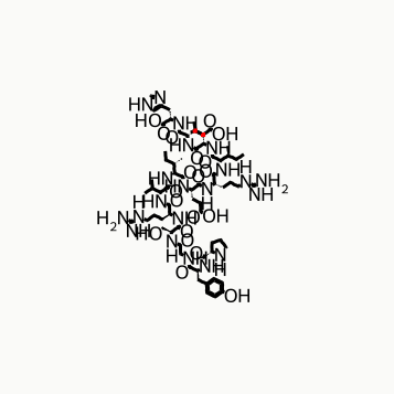 CC[C@H](C)[C@H](NC(=O)[C@H](CCCNC(=N)N)NC(=O)[C@H](CCC(=O)O)NC(=O)[C@@H](NC(=O)[C@@H](NC(=O)[C@H](CCCNC(=N)N)NC(=O)[C@H](CO)NC(=O)CNC(=O)[C@H](Cc1ccc(O)cc1)NC(=O)[C@@H]1CCCN1)C(C)C)[C@@H](C)CC)C(=O)N[C@@H](CC(C)C)C(=O)N[C@@H](CCC(=O)O)C(=O)N[C@@H](Cc1c[nH]cn1)C(=O)O